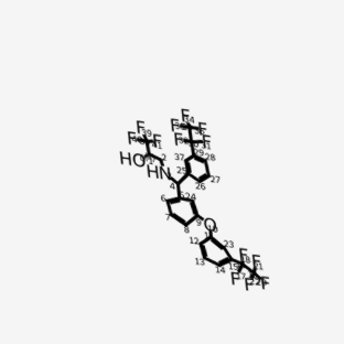 O[C@H](CNC(c1cccc(Oc2cccc(C(F)(F)C(F)(F)F)c2)c1)c1cccc(C(F)(F)C(F)(F)F)c1)C(F)(F)F